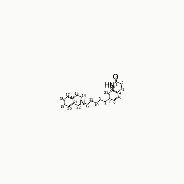 O=C1CCc2ccc(CCCCCN3CCc4ccccc4C3)cc2N1